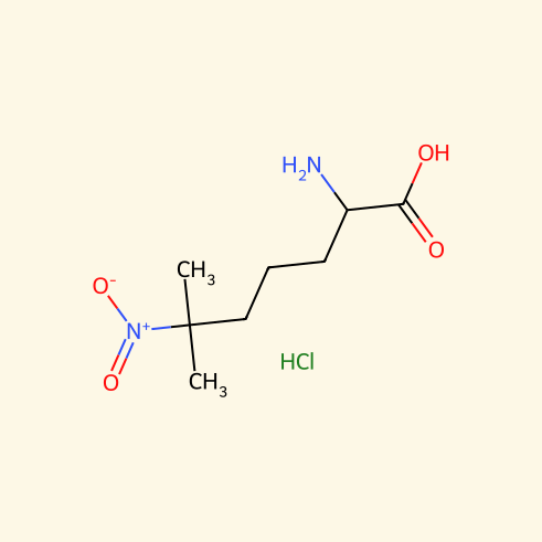 CC(C)(CCCC(N)C(=O)O)[N+](=O)[O-].Cl